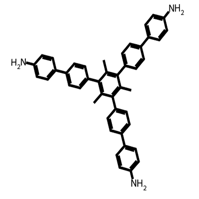 Cc1c(-c2ccc(-c3ccc(N)cc3)cc2)c(C)c(-c2ccc(-c3ccc(N)cc3)cc2)c(C)c1-c1ccc(-c2ccc(N)cc2)cc1